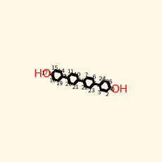 Oc1ccc(-c2ccc(-c3ccc(-c4ccc(O)cc4)cc3)cc2)cc1